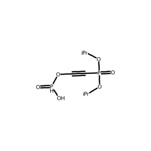 CC(C)OP(=O)(C#CO[PH](=O)O)OC(C)C